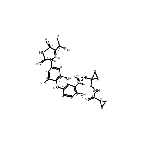 O=C(NCC1(NS(=O)(=O)c2cc(Oc3c(Cl)cc(-n4nc(C(F)F)c(=O)[nH]c4=O)cc3Cl)ccc2O)CC1)C1CC1